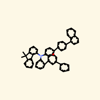 CC1(C)c2ccccc2-c2c(N(c3ccc(-c4ccc(-c5cccc6ccccc56)cc4)cc3)c3ccccc3-c3cccc(-c4ccccc4)c3)cccc21